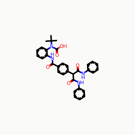 CC(C)(C)N(C(=O)O)c1ccccc1NC(=O)c1ccc(C(C(=O)Nc2ccccc2)C(=O)Nc2ccccc2)cc1